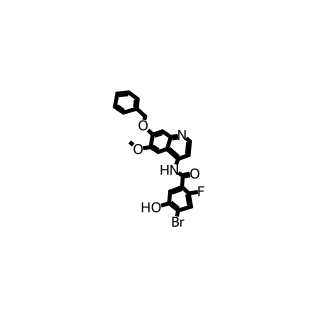 COc1cc2c(NC(=O)c3cc(O)c(Br)cc3F)ccnc2cc1OCc1ccccc1